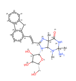 CC(=O)N1C2N([C@@H]3O[C@H](CO)C(O)C3O)C(C=Cc3cccc4c3Cc3ccccc3-4)=NC2(C(C)=O)C(=O)NC1(N)C(C)=O